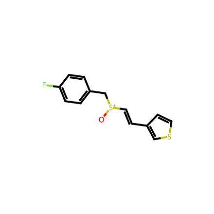 [O-][S+](C=Cc1ccsc1)Cc1ccc(F)cc1